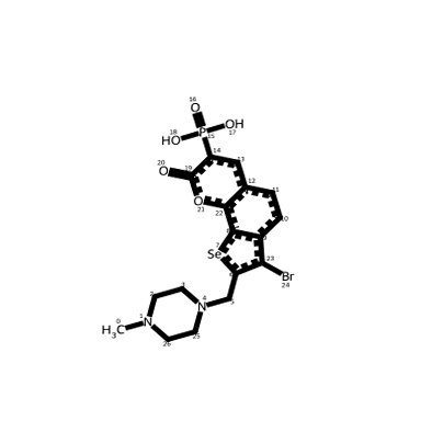 CN1CCN(Cc2[se]c3c(ccc4cc(P(=O)(O)O)c(=O)oc43)c2Br)CC1